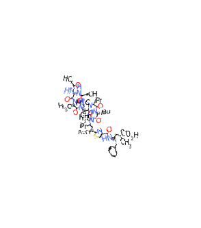 C#CC(=O)NC(NC(=O)C#C)C(=O)N[C@@H](C)C(=O)N[C@@H](C)C(=O)N(C)C(C(=O)N[C@H](C(=O)N(C)C(C[C@@H](OC(C)=O)c1nc(C(=O)N[C@@H](Cc2ccccc2)CC(C)C(=O)O)cs1)C(C)C)[C@@H](C)CC)C(C)C